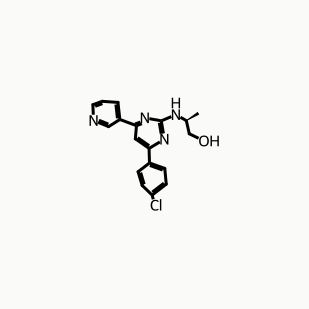 C[C@@H](CO)Nc1nc(-c2ccc(Cl)cc2)cc(-c2cccnc2)n1